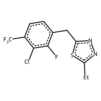 CCc1nnc(Cc2ccc(C(F)(F)F)c(Cl)c2F)s1